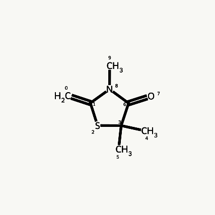 C=C1SC(C)(C)C(=O)N1C